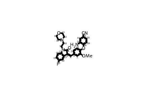 COc1cc(C=C2C(=O)N(CCN3CCOCC3)c3ccc(F)cc32)ccc1Oc1ccc(C#N)cc1N